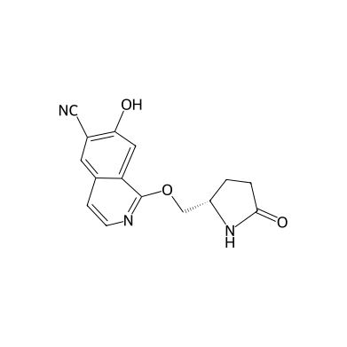 N#Cc1cc2ccnc(OC[C@@H]3CCC(=O)N3)c2cc1O